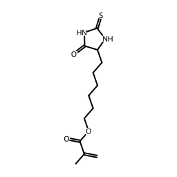 C=C(C)C(=O)OCCCCCCC1NC(=S)NC1=O